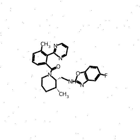 Cc1cccc(C(=O)N2CCC[C@@H](C)[C@H]2CNc2nc3cc(F)ccc3o2)c1-c1ncccn1